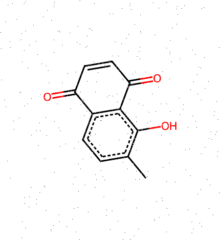 Cc1ccc2c(c1O)C(=O)C=CC2=O